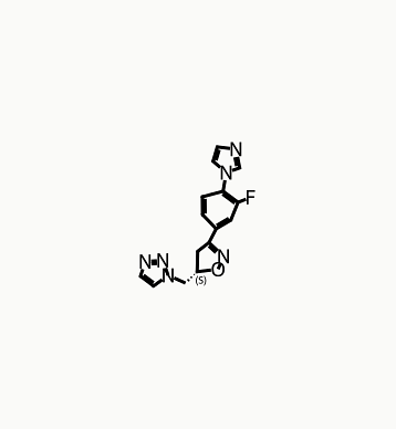 Fc1cc(C2=NO[C@H](Cn3ccnn3)C2)ccc1-n1ccnc1